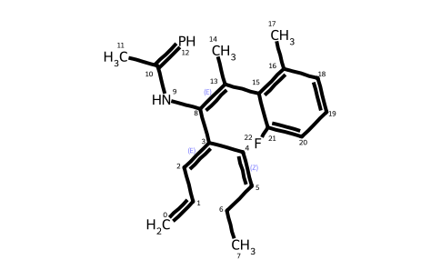 C=C/C=C(\C=C/CC)C(/NC(C)=P)=C(/C)c1c(C)cccc1F